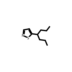 CCCC(CCC)c1ccns1